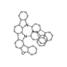 c1ccc2cc(-n3c4c(ccc5oc6ccccc6c54)c4ccc5c6ccccc6n(-c6ccc7c(c6)-c6cccc8cccc-7c68)c5c43)ccc2c1